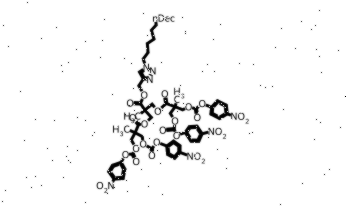 CCCCCCCCCCCCCCCCn1cc(COC(=O)C(C)(COC(=O)C(C)(COC(=O)Oc2ccc([N+](=O)[O-])cc2)COC(=O)Oc2ccc([N+](=O)[O-])cc2)COC(=O)C(C)(COC(=O)Oc2ccc([N+](=O)[O-])cc2)COC(=O)Oc2ccc([N+](=O)[O-])cc2)nn1